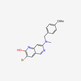 COc1ccc(CN(C)c2cc3nc(O)c(Br)cc3cn2)cc1